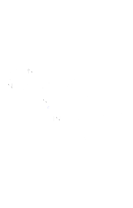 C=C(/N=C(/Nc1cccc(OC(F)F)c1)c1cccc(C)c1C)c1cnccn1